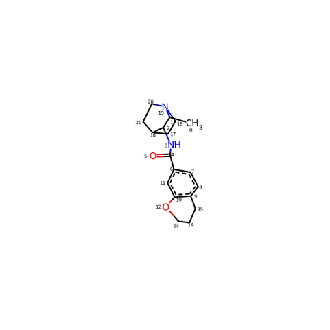 CC1C(NC(=O)c2ccc3c(c2)OCCC3)C2CCN1CC2